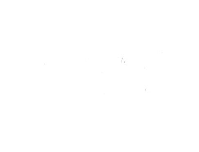 C=C(C(C)C)C(c1ccccc1)N1CCCC1=O